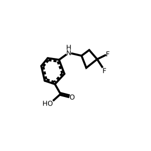 O=C(O)c1cccc(NC2CC(F)(F)C2)c1